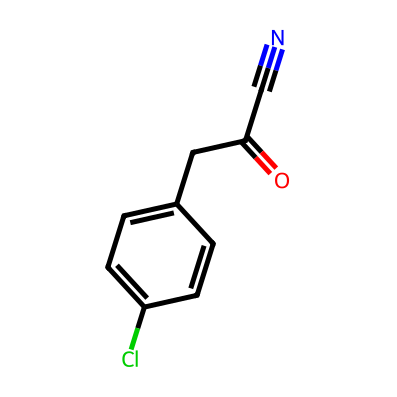 N#CC(=O)Cc1ccc(Cl)cc1